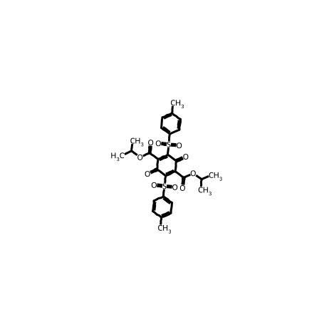 Cc1ccc(S(=O)(=O)C2=C(C(=O)OC(C)C)C(=O)C(S(=O)(=O)c3ccc(C)cc3)=C(C(=O)OC(C)C)C2=O)cc1